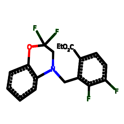 CCOC(=O)c1ccc(F)c(F)c1CN1CC(F)(F)Oc2ccccc21